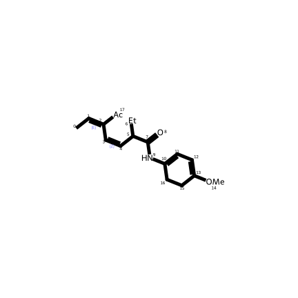 C/C=C(\C=C/C(CC)C(=O)NC1=CC=C(OC)CC1)C(C)=O